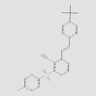 Cc1ccc(S(=O)(=O)c2cccc(/C=C/c3ccc(C(C)(C)C)cc3)c2C#N)cc1